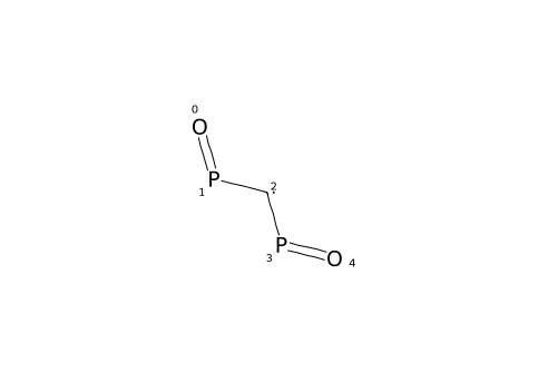 O=P[CH]P=O